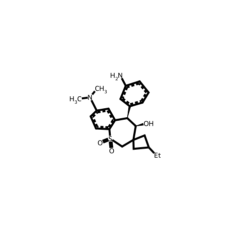 CCC1CC2(C1)CS(=O)(=O)c1ccc(N(C)C)cc1[C@@H](c1cccc(N)c1)[C@H]2O